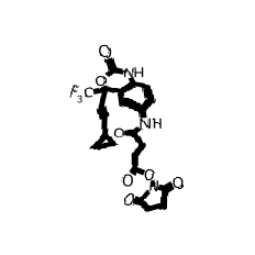 O=C(CCC(=O)ON1C(=O)CCC1=O)Nc1ccc2c(c1)C(C#CC1CC1)(C(F)(F)F)OC(=O)N2